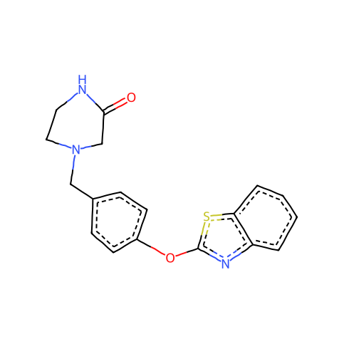 O=C1CN(Cc2ccc(Oc3nc4ccccc4s3)cc2)CCN1